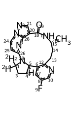 [2H]C1([2H])CC[C@H]2c3cc(F)cnc3CC[C@@H](C)NC(=O)c3cnn4ccc(nc34)N21